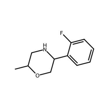 CC1CNC(c2ccccc2F)CO1